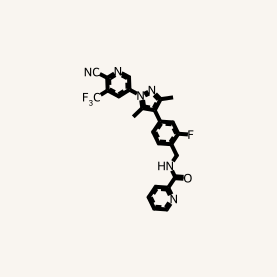 Cc1nn(-c2cnc(C#N)c(C(F)(F)F)c2)c(C)c1-c1ccc(CNC(=O)c2ccccn2)c(F)c1